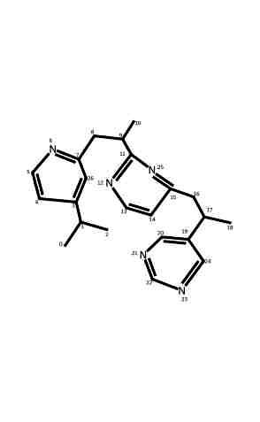 CC(C)c1ccnc(CC(C)c2nccc(CC(C)c3cncnc3)n2)c1